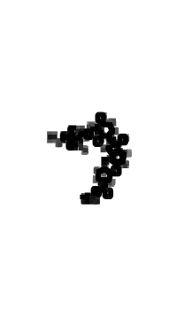 CC(C)(C)OC(=O)N1CC[C@H](F)[C@H](Oc2ccc3c(c2)CN(C2CCC(=O)N(COCC[Si](C)(C)C)C2=O)C3=O)C1